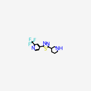 FC(F)(F)c1cc(-c2nnc(C3CCCNC3)s2)ccn1